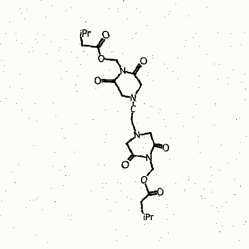 CC(C)CC(=O)OCN1C(=O)CN(CCN2CC(=O)N(COC(=O)CC(C)C)C(=O)C2)CC1=O